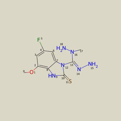 COc1cc(F)cc2c1[nH]c(=S)n2/C(=N/N)N(C)N